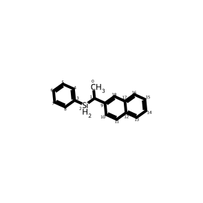 CC([SiH2]c1ccccc1)c1ccc2ccccc2c1